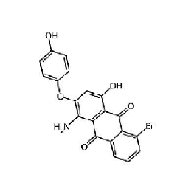 Nc1c(Oc2ccc(O)cc2)cc(O)c2c1C(=O)c1cccc(Br)c1C2=O